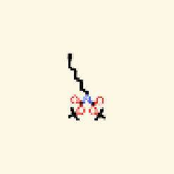 C#CCCCCCCN(C(=O)OC(C)(C)C)C(=O)OC(C)(C)C